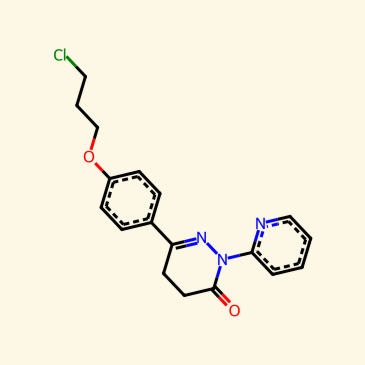 O=C1CCC(c2ccc(OCCCCl)cc2)=NN1c1ccccn1